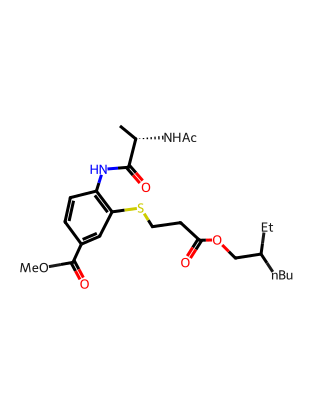 CCCCC(CC)COC(=O)CCSc1cc(C(=O)OC)ccc1NC(=O)[C@H](C)NC(C)=O